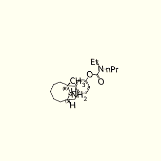 CCCN(CC)C(=O)Oc1ccc2c(c1)[C@@]1(C)CCCCC[C@@H](C2)[C@@H]1N